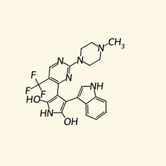 CN1CCN(c2ncc(C(F)(F)F)c(-c3c(O)[nH]c(O)c3-c3c[nH]c4ccccc34)n2)CC1